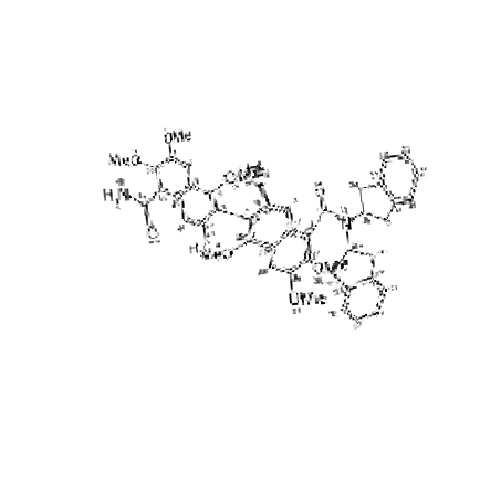 COc1cc2c(OC)c(-c3c(C)cc4c(C(=O)N(C5Cc6ccccc6C5)C5Cc6ccccc6C5)c(OC)c(OC)cc4c3OC)c(C)cc2c(C(N)=O)c1OC